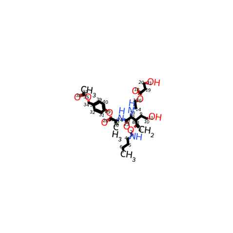 C=C(ONCCCC)C(CCO)C(NCCOC(=O)CCO)C(=O)NC(C)C(=O)Oc1ccc(COC(C)=O)cc1